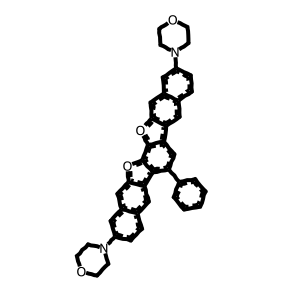 c1ccc(-c2cc3c4cc5ccc(N6CCOCC6)cc5cc4oc3c3oc4cc5cc(N6CCOCC6)ccc5cc4c23)cc1